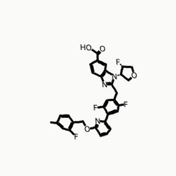 Cc1ccc(COc2cccc(-c3cc(F)c(Cc4nc5ccc(C(=O)O)cc5n4[C@H]4COC[C@H]4F)cc3F)n2)c(F)c1